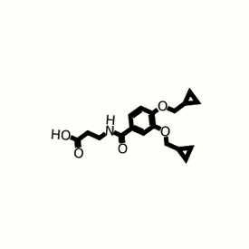 O=C(O)CCNC(=O)c1ccc(OCC2CC2)c(OCC2CC2)c1